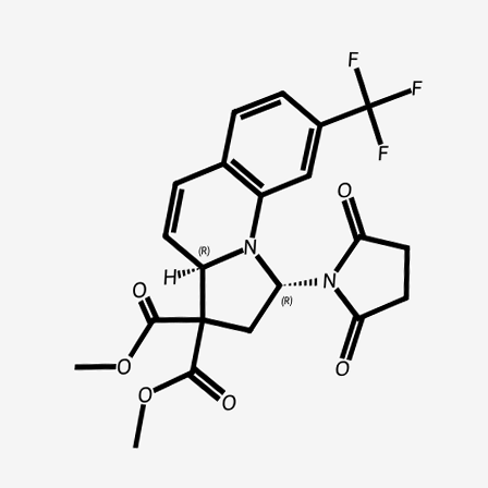 COC(=O)C1(C(=O)OC)C[C@@H](N2C(=O)CCC2=O)N2c3cc(C(F)(F)F)ccc3C=C[C@@H]21